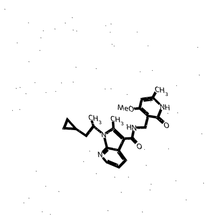 COc1cc(C)[nH]c(=O)c1CNC(=O)c1c(C)n(C(C)CC2CC2)c2ncccc12